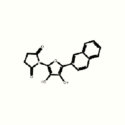 O=C1CCC(=O)N1c1oc(-c2ccc3ccccc3c2)c(O)c1O